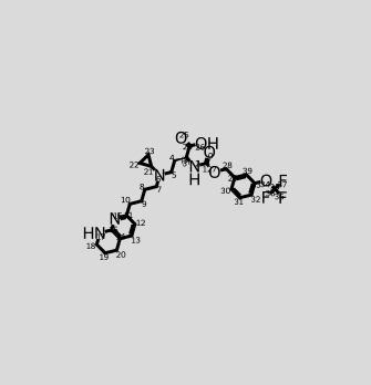 O=C(N[C@@H](CCN(CCCCc1ccc2c(n1)NCCC2)C1CC1)C(=O)O)OCc1cccc(OC(F)(F)F)c1